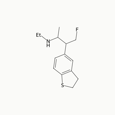 CCNC(C)C(CF)c1ccc2c(c1)CCS2